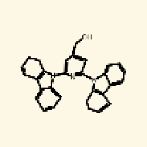 OCc1cc(-n2c3c(c4ccccc42)C=CCC3)nc(-n2c3c(c4ccccc42)C=CCC3)c1